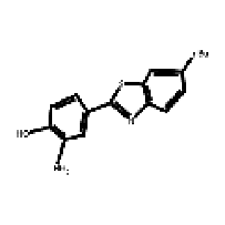 CCCCc1ccc2nc(-c3ccc(O)c(N)c3)sc2c1